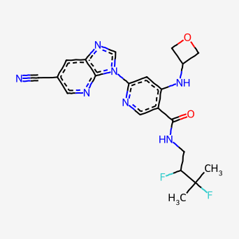 CC(C)(F)C(F)CNC(=O)c1cnc(-n2cnc3cc(C#N)cnc32)cc1NC1COC1